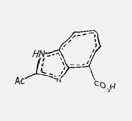 CC(=O)c1nc2c(C(=O)O)cccc2[nH]1